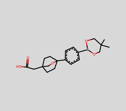 CC1(C)COB(c2ccc(C34CCC(CC(=O)O)(CC3)CO4)cc2)OC1